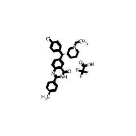 CCN1CCC[C@H](C(c2ccc(Cl)cc2)c2ccc3nc(-c4ccc(C)cc4)[nH]c(=O)c3c2)C1.O=C(O)C(F)(F)F